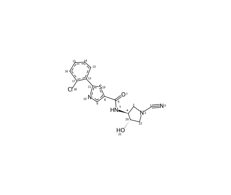 N#CN1C[C@H](NC(=O)c2cnc(-c3ccccc3Cl)s2)[C@@H](O)C1